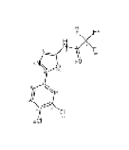 O=C(Nc1cnc(-c2ccc(Cl)c(Cl)c2)o1)C(F)(F)F